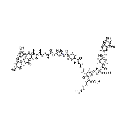 NCCCC[C@@H](NC(=O)[C@H](CCCCNC(=O)c1ccc(N/C=C(\N)CCOC(=O)NCCNC(=S)Nc2ccc3c(c2)C(=O)OC32c3ccc(O)cc3Oc3cc(O)ccc32)cc1)NC(=O)CC[C@H](NC(=O)c1ccc(NCc2cnc3nc(N)nc(O)c3n2)cc1)C(=O)O)C(=O)O